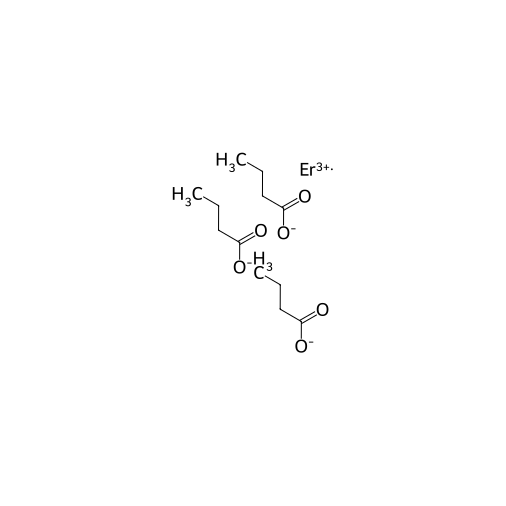 CCCC(=O)[O-].CCCC(=O)[O-].CCCC(=O)[O-].[Er+3]